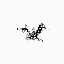 C=CCC(C)(C)CCOC(=O)N[C@H](C(=O)N1C[C@](OC(C)=O)(c2ccc3cc(OC)c(C=C)cc3c2)C[C@H]1C(=O)OC)C(C)(C)C